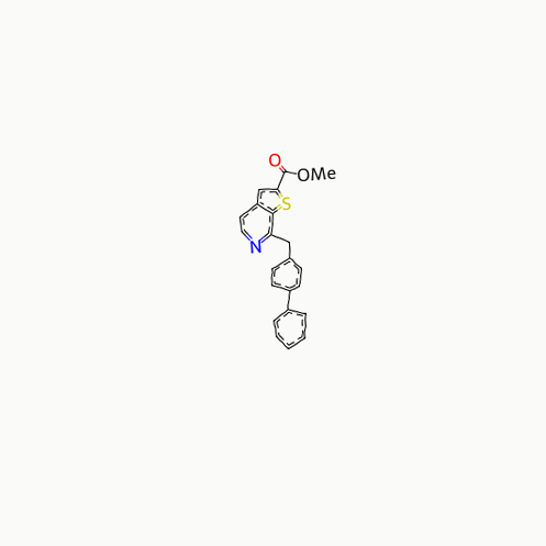 COC(=O)c1cc2ccnc(Cc3ccc(-c4ccccc4)cc3)c2s1